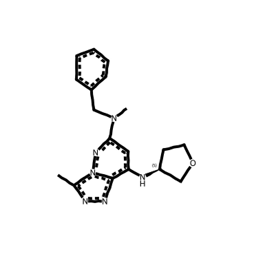 Cc1nnc2c(N[C@H]3CCOC3)cc(N(C)Cc3ccccc3)nn12